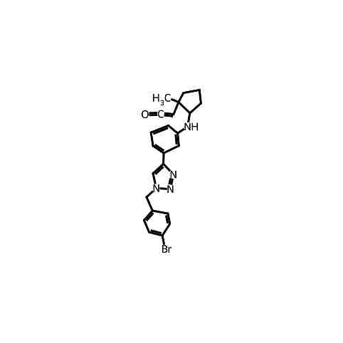 CC1(C=C=O)CCCC1Nc1cccc(-c2cn(Cc3ccc(Br)cc3)nn2)c1